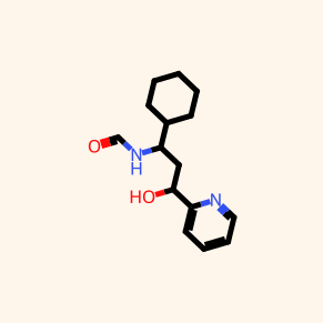 O=CNC(CC(O)c1ccccn1)C1CCCCC1